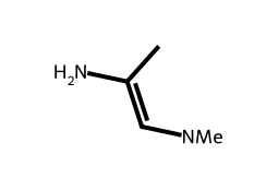 CN/C=C(\C)N